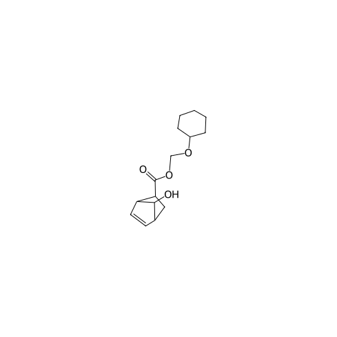 O=C(OCOC1CCCCC1)C1CC2C=CC1C2O